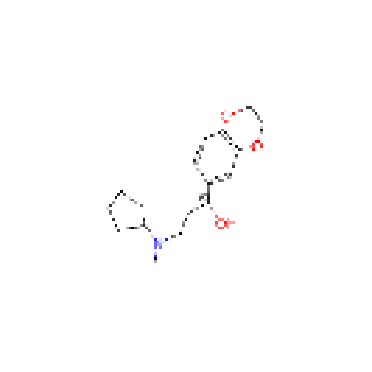 CN(CC[C@@H](O)c1ccc2c(c1)OCCO2)C1CCCC1